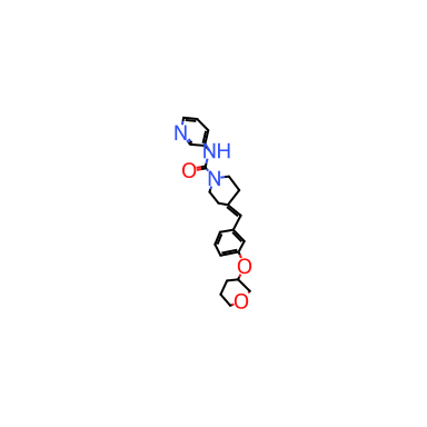 O=C(Nc1cccnc1)N1CCC(=Cc2cccc(OC3CCCOC3)c2)CC1